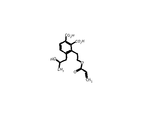 C=CC(=O)OCCc1c(CC(C)O)ccc(C(=O)O)c1C(=O)O